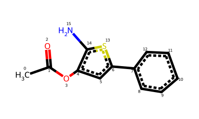 CC(=O)Oc1cc(-c2ccccc2)sc1N